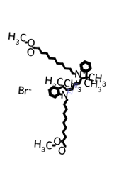 CCOC(=O)CCCCCCCCCC[N+]1=C(/C=C/C=C2/N(CCCCCCCCCC(C=O)OCC)c3ccccc3C2(C)C)C(C)(C)c2ccccc21.[Br-]